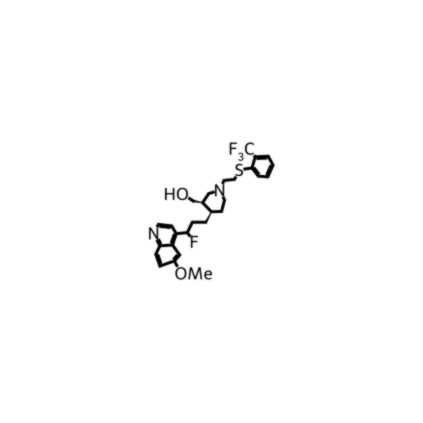 COc1ccc2nccc(C(F)CC[C@@H]3CCN(CCSc4ccccc4C(F)(F)F)C[C@@H]3CO)c2c1